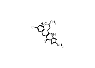 CC(C)CCc1[nH]c2nc(N)nn2c(=O)c1Cc1cccc(Cl)c1